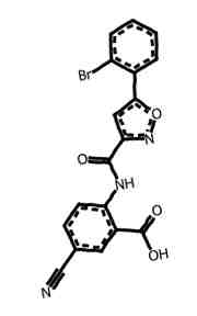 N#Cc1ccc(NC(=O)c2cc(-c3ccccc3Br)on2)c(C(=O)O)c1